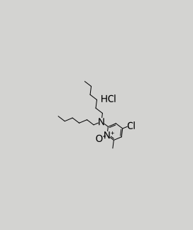 CCCCCCN(CCCCCC)c1cc(Cl)cc(C)[n+]1[O-].Cl